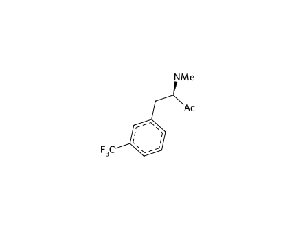 CN[C@H](Cc1cccc(C(F)(F)F)c1)C(C)=O